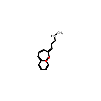 CNCCC=C1C=CC=C2C=CC=CC23CC=CC=C13